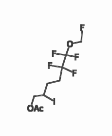 CC(=O)OCC(I)CCC(F)(F)C(F)(F)OCF